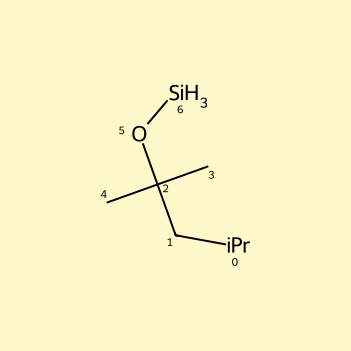 CC(C)CC(C)(C)O[SiH3]